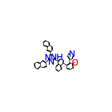 c1ccc2cc(C3=NC(c4ccc(-c5cccc6oc7cnccc7c56)c5ccccc45)NC(c4ccc5ccccc5c4)=N3)ccc2c1